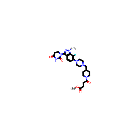 Cn1nc(N2CCC(=O)NC2=O)c2ccc(N3CCN(CC4CCN(C(=O)CCC(=O)OC(C)(C)C)CC4)CC3)c(F)c21